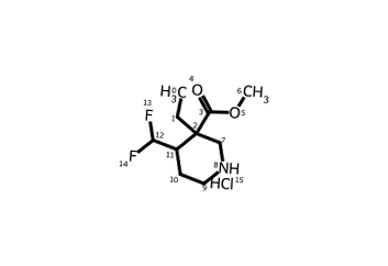 CCC1(C(=O)OC)CNCCC1C(F)F.Cl